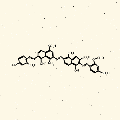 Nc1c(N=Nc2ccc3c(O)c(N=Nc4ccc(S(=O)(=O)O)cc4OC=O)c(S(=O)(=O)O)cc3c2S(=O)(=O)O)cc(S(=O)(=O)O)c2ccc(N=Nc3ccc([N+](=O)[O-])cc3S(=O)(=O)O)c(O)c12